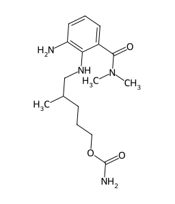 CC(CCCOC(N)=O)CNc1c(N)cccc1C(=O)N(C)C